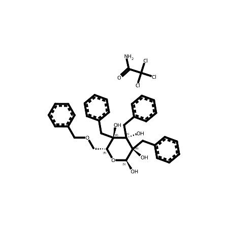 NC(=O)C(Cl)(Cl)Cl.O[C@H]1O[C@H](COCc2ccccc2)[C@](O)(Cc2ccccc2)[C@@](O)(Cc2ccccc2)[C@]1(O)Cc1ccccc1